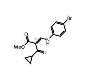 COC(=O)/C(=C/Nc1ccc(Br)cc1)C(=O)C1CC1